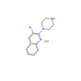 Brc1cc2ccccc2nc1N1CCNCC1.Cl